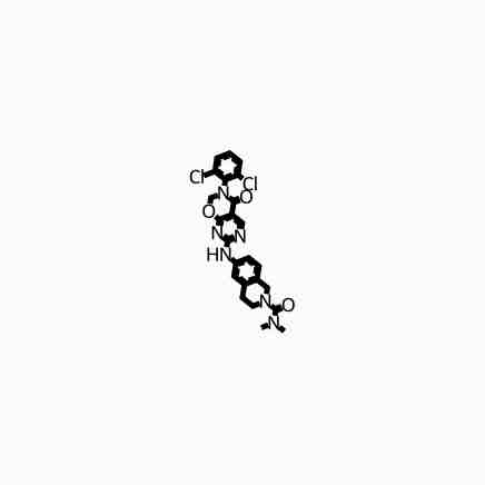 CN(C)C(=O)N1CCc2cc(Nc3ncc4c(n3)OCN(c3c(Cl)cccc3Cl)C4=O)ccc2C1